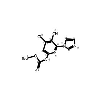 CC(C)(C)OC(=O)Nc1cc(Cl)c(C#N)c(-n2ccnc2)n1